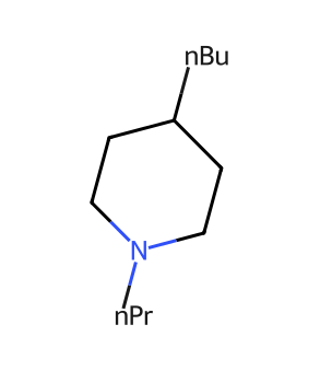 [CH2]CCN1CCC(CCCC)CC1